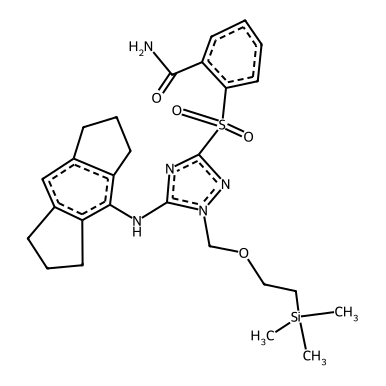 C[Si](C)(C)CCOCn1nc(S(=O)(=O)c2ccccc2C(N)=O)nc1Nc1c2c(cc3c1CCC3)CCC2